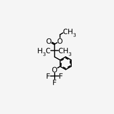 CCOC(=O)C(C)(C)Cc1ccccc1OC(F)(F)F